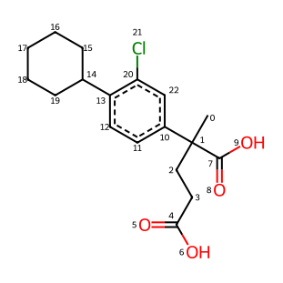 CC(CCC(=O)O)(C(=O)O)c1ccc(C2CCCCC2)c(Cl)c1